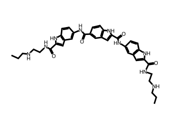 CCCNCCNC(=O)c1cc2cc(NC(=O)c3ccc4[nH]c(C(=O)Nc5ccc6[nH]c(C(=O)NCCNCCC)cc6c5)cc4c3)ccc2[nH]1